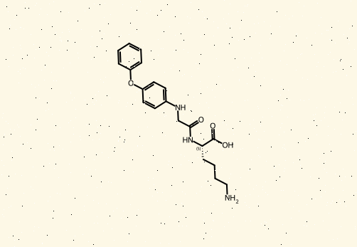 NCCCC[C@H](NC(=O)CNc1ccc(Oc2ccccc2)cc1)C(=O)O